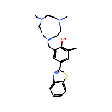 Cc1cc(-c2nc3ccccc3s2)cc(CN2CCN(C)CCN(C)CC2)c1O